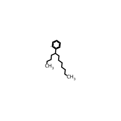 CCCCCCCC(CCCC)c1[c]cccc1